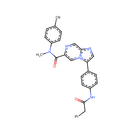 CC(C)CC(=O)Nc1ccc(-c2cnc3cnc(C(=O)N(C)c4ccc(C#N)cc4)cn23)cc1